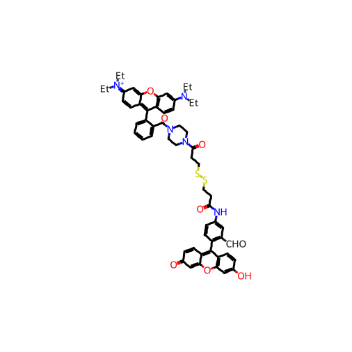 CCN(CC)c1ccc2c(-c3ccccc3C(=O)N3CCN(C(=O)CCSSCCC(=O)Nc4ccc(-c5c6ccc(=O)cc-6oc6cc(O)ccc56)c(C=O)c4)CC3)c3ccc(=[N+](CC)CC)cc-3oc2c1